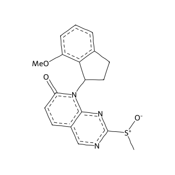 COc1cccc2c1C(n1c(=O)ccc3cnc([S+](C)[O-])nc31)CC2